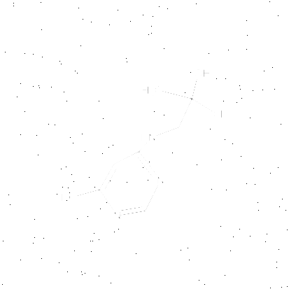 Cc1cc(NCC(C)(C)O)ncn1